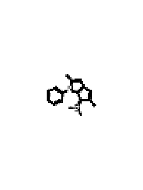 CC1=Cc2cc(C)n(-c3ccccc3)c2C1=[Si](C)C